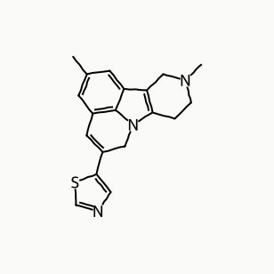 Cc1cc2c3c(c1)c1c(n3CC(c3cncs3)=C2)CCN(C)C1